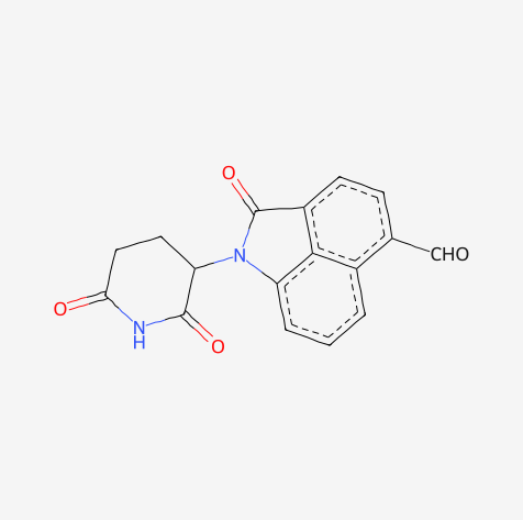 O=Cc1ccc2c3c(cccc13)N(C1CCC(=O)NC1=O)C2=O